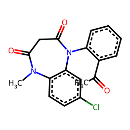 CC(=O)c1ccccc1N1C(=O)CC(=O)N(C)c2ccc(Cl)cc21